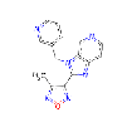 Cc1nonc1-c1nc2ccncc2n1Cc1cccnc1